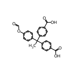 CC(c1ccc(OC=O)cc1)(c1ccc(C(=O)O)cc1)c1ccc(C(=O)O)cc1